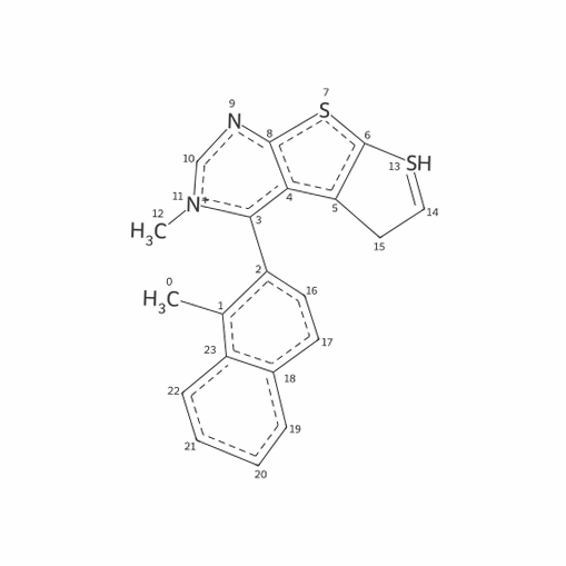 Cc1c(-c2c3c4c(sc3nc[n+]2C)[SH]=CC4)ccc2ccccc12